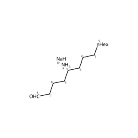 CCCCCCCCCCCCCC=O.N.[NaH]